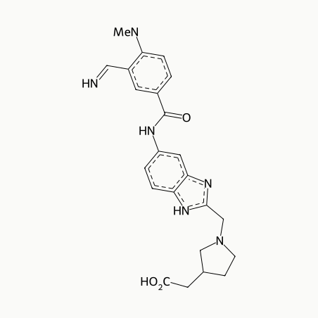 CNc1ccc(C(=O)Nc2ccc3[nH]c(CN4CCC(CC(=O)O)C4)nc3c2)cc1C=N